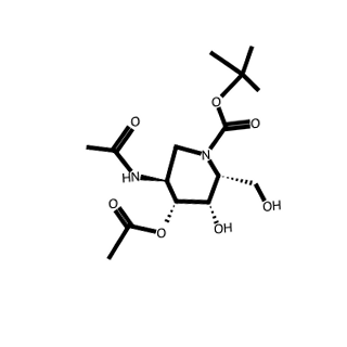 CC(=O)N[C@H]1CN(C(=O)OC(C)(C)C)[C@H](CO)[C@H](O)[C@@H]1OC(C)=O